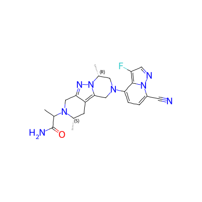 CC(C(N)=O)N1Cc2nn3c(c2C[C@@H]1C)CN(c1ccc(C#N)n2ncc(F)c12)C[C@H]3C